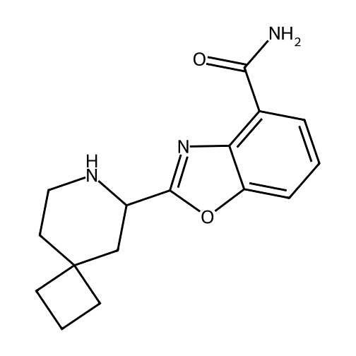 NC(=O)c1cccc2oc(C3CC4(CCC4)CCN3)nc12